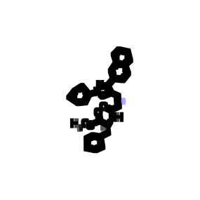 COC(=O)[C@H](Cc1ccccc1)NC(=O)/C=C\c1cn(-c2ccccc2)nc1-c1ccc2ccccc2c1